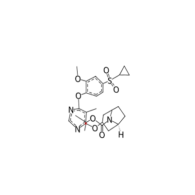 COc1cc(S(=O)(=O)C2CC2)ccc1Oc1ncnc(OC2CC3CC[C@@H](C2)N3C(=O)OC(C)C)c1C